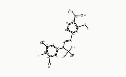 CCc1cc(C=CC(c2cc(Cl)c(F)c(Cl)c2)C(F)(F)F)ccc1C(=O)O